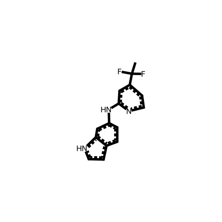 CC(F)(F)c1ccnc(Nc2ccc3cc[nH]c3c2)c1